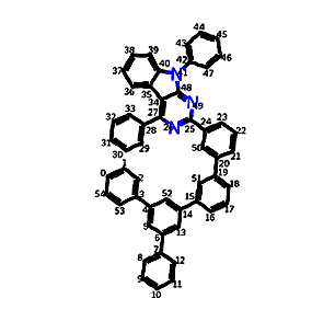 c1ccc(-c2cc(-c3ccccc3)cc(-c3cccc(-c4cccc(-c5nc(-c6ccccc6)c6c7ccccc7n(-c7ccccc7)c6n5)c4)c3)c2)cc1